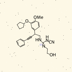 COc1ccc(C(C#Cc2ccccc2)CN/C(=N/CCO)NC#N)cc1OC1CCCC1